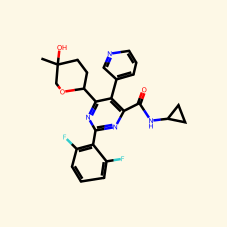 CC1(O)CCC(c2nc(-c3c(F)cccc3F)nc(C(=O)NC3CC3)c2-c2cccnc2)OC1